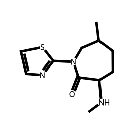 CNC1CCC(C)CN(c2nccs2)C1=O